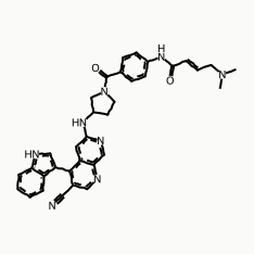 CN(C)C/C=C/C(=O)Nc1ccc(C(=O)N2CCC(Nc3cc4c(-c5c[nH]c6ccccc56)c(C#N)cnc4cn3)C2)cc1